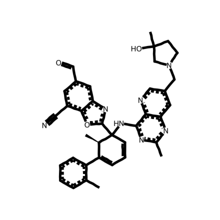 Cc1nc(NC2(c3nc4cc(C=O)cc(C#N)c4o3)C=CC=C(c3ccccc3C)[C@H]2C)c2ncc(CN3CCC(C)(O)C3)cc2n1